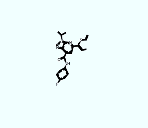 C=CS/C(=C\C)c1cc(C(=O)Nc2ccc(F)cc2)c2nnn(C(C)C)c2n1